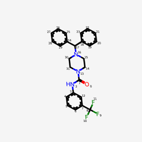 O=C(Nc1cccc(C(F)(F)F)c1)N1CCN(C(c2ccccc2)c2ccccc2)CC1